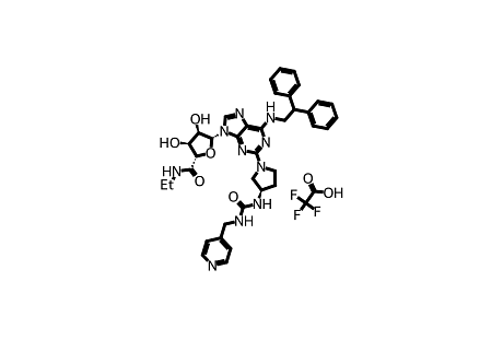 CCNC(=O)[C@H]1O[C@@H](n2cnc3c(NCC(c4ccccc4)c4ccccc4)nc(N4CC[C@@H](NC(=O)NCc5ccncc5)C4)nc32)[C@H](O)[C@@H]1O.O=C(O)C(F)(F)F